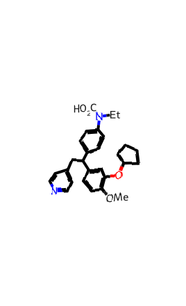 CCN(C(=O)O)c1ccc(C(Cc2ccncc2)c2ccc(OC)c(OC3CCCC3)c2)cc1